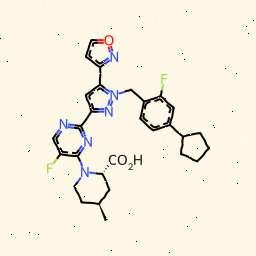 C[C@H]1CCN(c2nc(-c3cc(-c4ccon4)n(Cc4ccc(C5CCCC5)cc4F)n3)ncc2F)[C@H](C(=O)O)C1